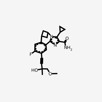 COCC(C)(O)C#Cc1cc2c(cc1F)C1CC(C1)n1c-2nc(C(N)=O)c1C1CC1